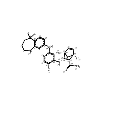 CC1(C)CCCNc2cc(Nc3ncc(Cl)c(N[C@H]4[C@@H](C(N)=O)[C@@H]5C=C[C@H]4C5)n3)ccc21